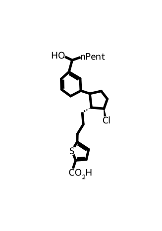 CCCCCC(O)C1=CC(C2CC[C@@H](Cl)[C@@H]2CCCc2ccc(C(=O)O)s2)CC=C1